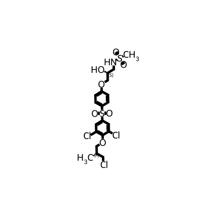 C[C@@H](CCl)COc1c(Cl)cc(S(=O)(=O)c2ccc(OC[C@@H](O)CNS(C)(=O)=O)cc2)cc1Cl